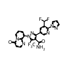 NC(=O)c1c(-c2cnc(-n3cccn3)c(C(F)F)c2)nn(-c2cccn3c(=O)ccnc23)c1C(F)(F)F